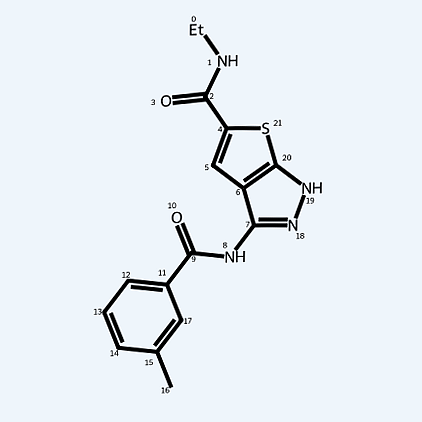 CCNC(=O)c1cc2c(NC(=O)c3cccc(C)c3)n[nH]c2s1